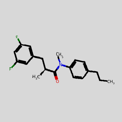 CCCc1ccc(N(C)C(=O)[C@@H](C)Cc2cc(F)cc(F)c2)cc1